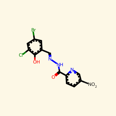 O=C(NN=Cc1cc(Br)cc(Cl)c1O)c1ccc([N+](=O)[O-])cn1